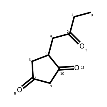 CCC(=O)CC1CC(=O)CC1=O